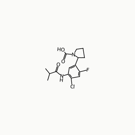 CC(C)C(=O)Nc1cc(C2CCCN2C(=O)O)c(F)cc1Cl